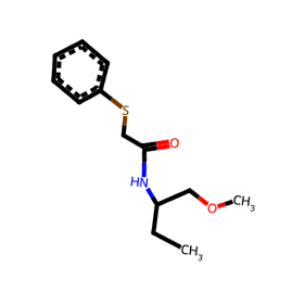 CCC(COC)NC(=O)CSc1ccccc1